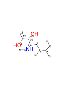 CCC(C)C(C)CC(NC)C(O)C(C)O